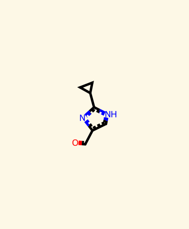 O=Cc1c[nH]c(C2CC2)n1